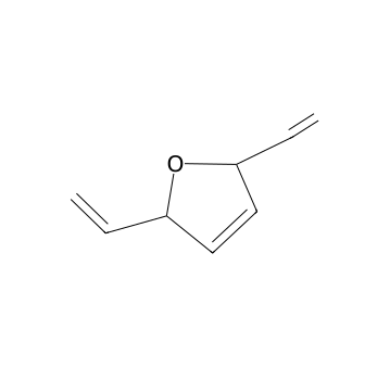 C=CC1C=CC(C=C)O1